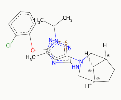 Cc1cc(N2C[C@H]3CC[C@@H](C2)[C@H]3Nc2nc(Oc3ccccc3Cl)n(C(C)C)n2)sn1